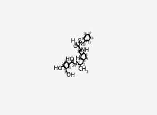 C[C@H](Cc1ccc2[nH]c(C(=O)N(C)Cc3ccccc3)cc2c1)NC[C@H](O)c1ccc(O)c(CO)c1